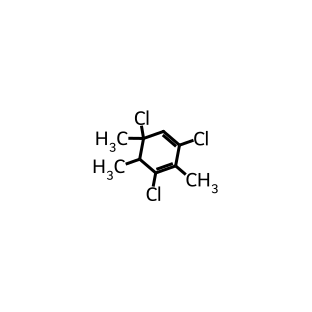 CC1=C(Cl)C(C)C(C)(Cl)C=C1Cl